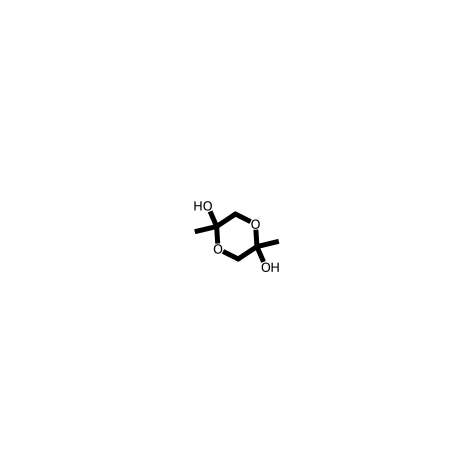 CC1(O)COC(C)(O)CO1